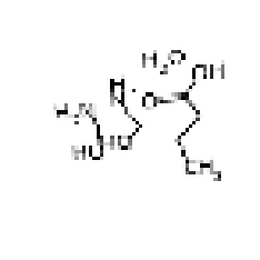 CCCC(=O)O.NCO.NCO.O